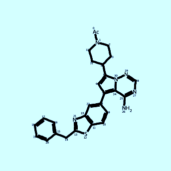 CC(=O)N1CCC(c2cc(-c3ccc4sc(Cc5ccccc5)nc4c3)c3c(N)ncnn23)CC1